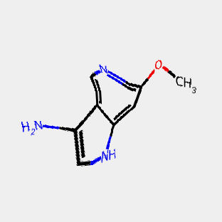 COc1cc2[nH]cc(N)c2cn1